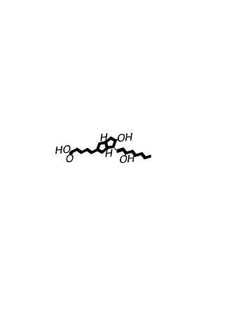 CCCCC[C@H](O)/C=C/[C@@H]1[C@H]2CC(CCCCC(=O)O)C[C@H]2C[C@H]1O